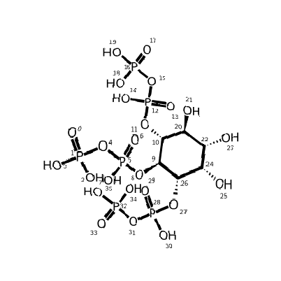 O=P(O)(O)OP(=O)(O)O[C@H]1[C@H](OP(=O)(O)OP(=O)(O)O)[C@@H](O)[C@H](O)[C@H](O)[C@@H]1OP(=O)(O)OP(=O)(O)O